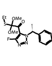 CCSC(OC)(OC)C(=O)c1c(F)nnn1[C@H](C)c1ccccc1